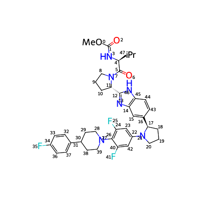 COC(=O)N[C@H](C(=O)N1CCC[C@H]1c1nc2cc([C@H]3CCCN3c3cc(F)c(N4CCC(c5ccc(F)cc5)CC4)c(F)c3)ccc2[nH]1)C(C)C